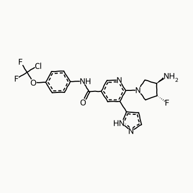 N[C@@H]1CN(c2ncc(C(=O)Nc3ccc(OC(F)(F)Cl)cc3)cc2-c2ccn[nH]2)C[C@H]1F